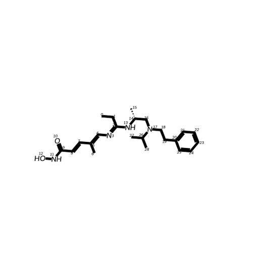 CC\C(=N/C=C(C)/C=C/C(=O)NO)N[C@H](C)CN(CCc1ccccc1)C(C)C